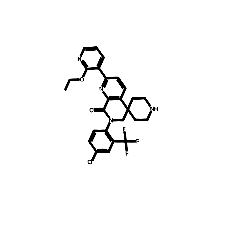 CCOc1ncccc1-c1ccc2c(n1)C(=O)N(c1ccc(Cl)cc1C(F)(F)F)CC21CCNCC1